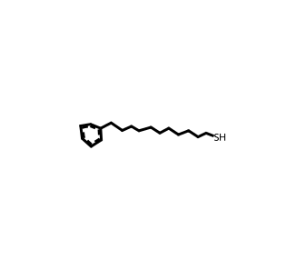 SCCCCCCCCCCCc1ccccc1